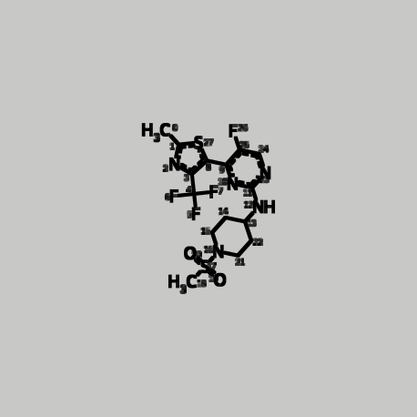 Cc1nc(C(F)(F)F)c(-c2nc(NC3CCN(S(C)(=O)=O)CC3)ncc2F)s1